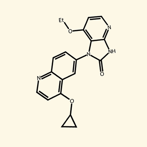 CCOc1ccnc2[nH]c(=O)n(-c3ccc4nccc(OC5CC5)c4c3)c12